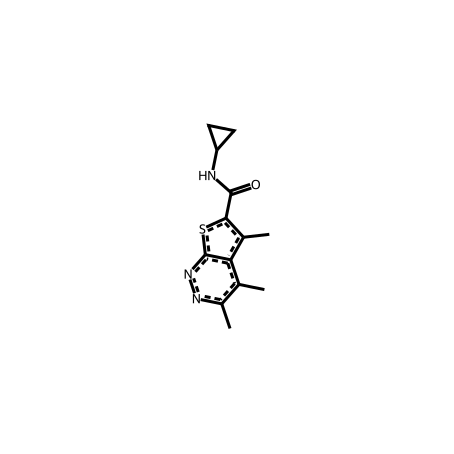 Cc1nnc2sc(C(=O)NC3CC3)c(C)c2c1C